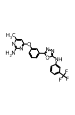 Cc1cc(Oc2cccc(-c3nnc(Nc4cccc(C(F)(F)F)c4)o3)c2)nc(N)n1